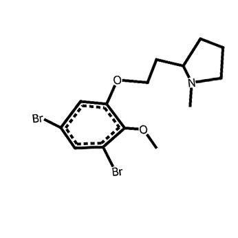 COc1c(Br)cc(Br)cc1OCCC1CCCN1C